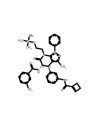 Cc1nn(-c2ccccc2)c2c1[C@@H](c1cccc(NC(=O)C3=CCC3)c1)[C@H](NC(=O)c1cccc(C(F)(F)F)c1)C(=O)N2CCO[Si](C)(C)C(C)(C)C